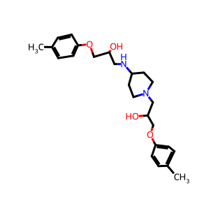 Cc1ccc(OCC(O)CNC2CCN(CC(O)COc3ccc(C)cc3)CC2)cc1